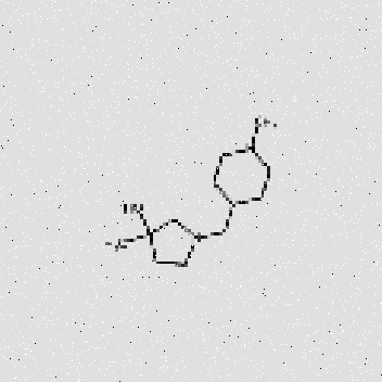 CN1CCC(CN2CCC(C)(O)C2)CC1